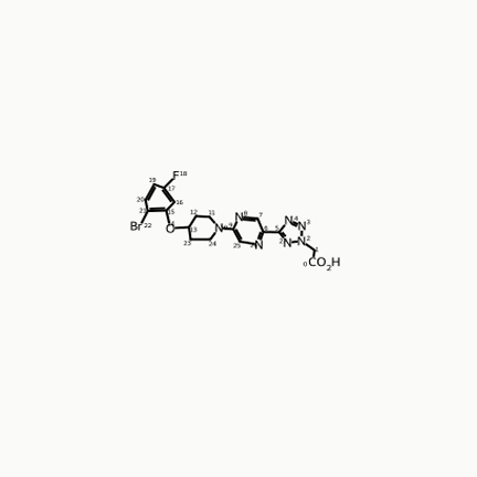 O=C(O)Cn1nnc(-c2cnc(N3CCC(Oc4cc(F)ccc4Br)CC3)cn2)n1